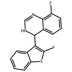 Fc1cccc2c1N=CNC2c1c(F)sc2ccccc12